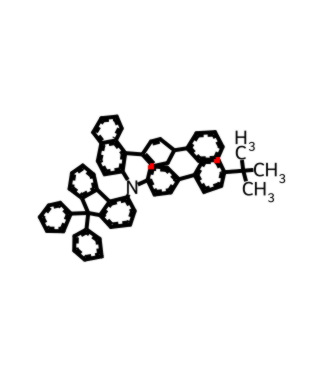 CC(C)(C)c1ccc(-c2ccc(N(c3cccc4c3-c3ccccc3C4(c3ccccc3)c3ccccc3)c3ccc4ccccc4c3C3=CCC(c4ccccc4)C=C3)cc2)cc1